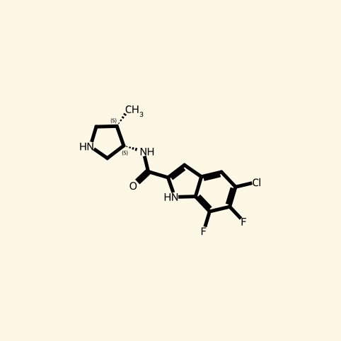 C[C@H]1CNC[C@H]1NC(=O)c1cc2cc(Cl)c(F)c(F)c2[nH]1